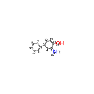 CN(C)c1cc(-c2ccccc2)ccc1O